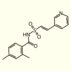 Cc1ccc(C(=O)NS(=O)(=O)C=Cc2cccnc2)c(C)c1